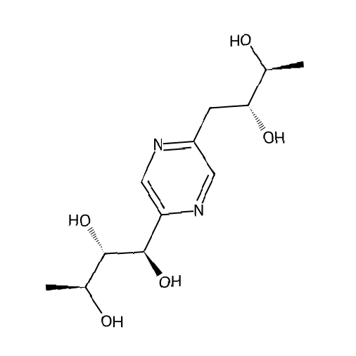 C[C@H](O)[C@H](O)[C@H](O)c1cnc(C[C@@H](O)[C@H](C)O)cn1